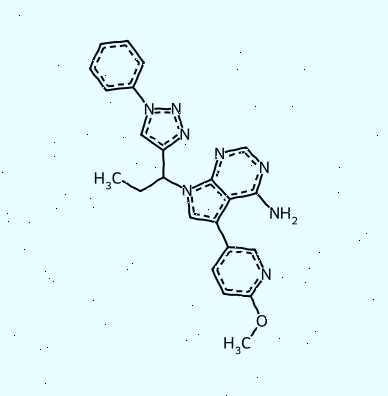 CCC(c1cn(-c2ccccc2)nn1)n1cc(-c2ccc(OC)nc2)c2c(N)ncnc21